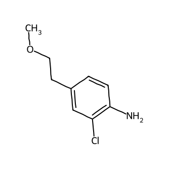 COCCc1ccc(N)c(Cl)c1